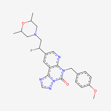 COc1ccc(Cn2c(=O)n3ncnc3c3cc(C(F)CN4CC(C)OC(C)C4)cnc32)cc1